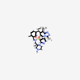 Cc1ccc([C@H](CC(=O)O)c2ccn3c(C(F)(F)F)nnc3c2C)cc1CN1C[C@@H]2CN(C)CCN2c2ncccc2S1(=O)=O